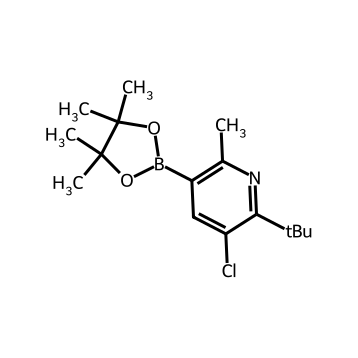 Cc1nc(C(C)(C)C)c(Cl)cc1B1OC(C)(C)C(C)(C)O1